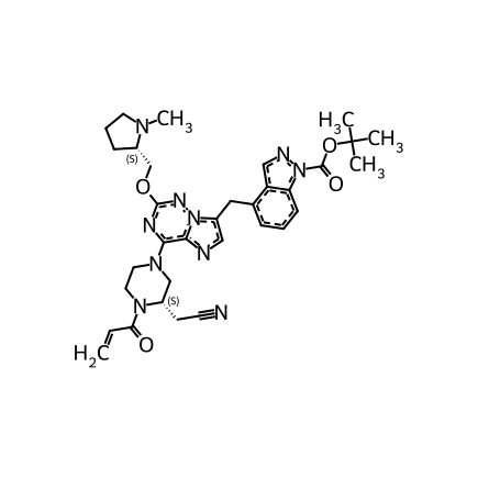 C=CC(=O)N1CCN(c2nc(OC[C@@H]3CCCN3C)nn3c(Cc4cccc5c4cnn5C(=O)OC(C)(C)C)cnc23)C[C@@H]1CC#N